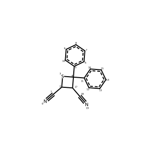 N#CC1SC(c2ccccc2)(c2ccccc2)C1C#N